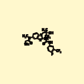 CN(C(=O)CC(C)(C)C)c1ccc2c(c1)nc(NC(=O)Nc1ccc(F)c(C(F)(F)F)c1)n2CC(C)(C)O